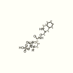 O=C(NOC[C@@H]1Cc2ccccc2CN1)[C@@H]1CC[C@@H]2CN1C(=O)N2OS(=O)(=O)O